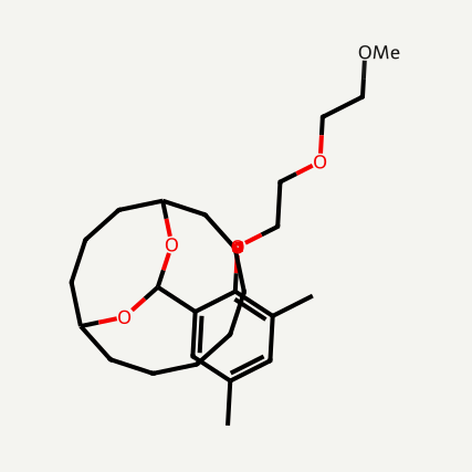 COCCOCCOc1c(C)cc(C)cc1C1OC2CCCCCCCC(CCC2)O1